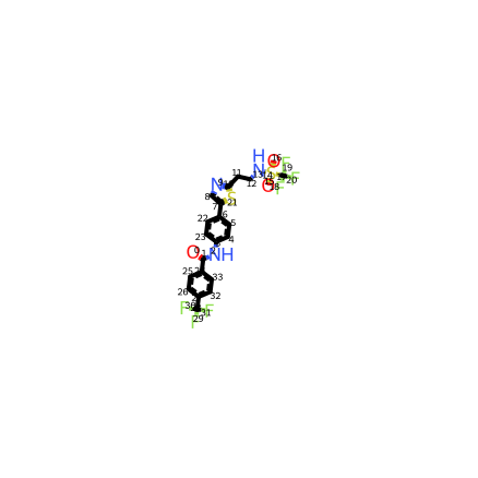 O=C(Nc1ccc(-c2cnc(CCNS(=O)(=O)C(F)(F)F)s2)cc1)c1ccc(C(F)(F)F)cc1